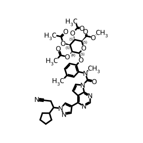 COC(=O)[C@H]1O[C@@H](Oc2ccc(C)cc2N(C)C(=O)n2ccc3c(-c4cnn(C(CC#N)C5CCCC5)c4)ncnc32)[C@H](OC(C)=O)[C@@H](OC(C)=O)[C@@H]1OC(C)=O